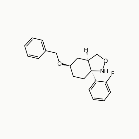 Fc1ccccc1[C@]12CC[C@@H](OCc3ccccc3)C[C@H]1CON2